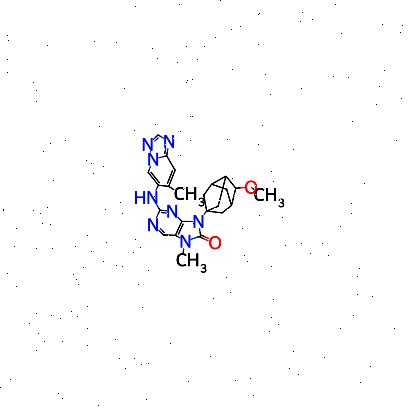 COC1C2CC3CC(n4c(=O)n(C)c5cnc(Nc6cn7ncnc7cc6C)nc54)(C2)CC31